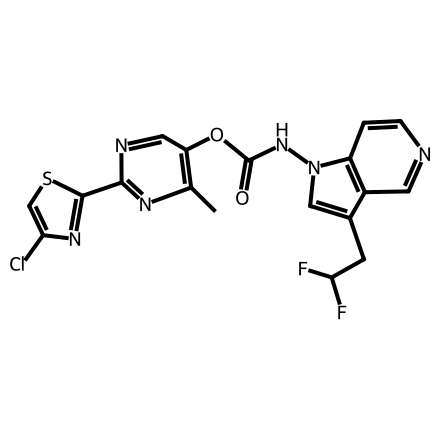 Cc1nc(-c2nc(Cl)cs2)ncc1OC(=O)Nn1cc(CC(F)F)c2cnccc21